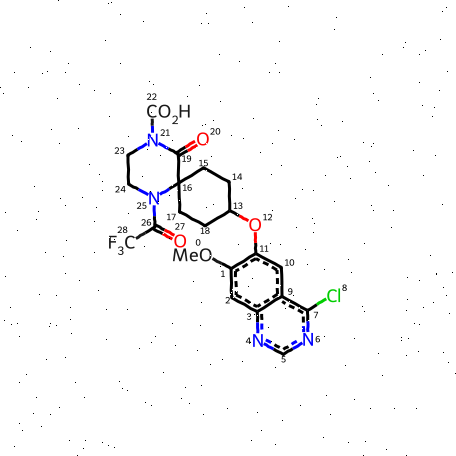 COc1cc2ncnc(Cl)c2cc1OC1CCC2(CC1)C(=O)N(C(=O)O)CCN2C(=O)C(F)(F)F